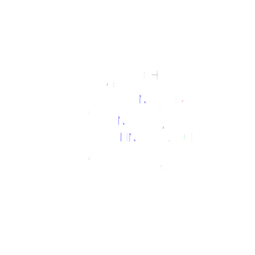 CN1C(=O)C(C(=O)Cl)NN(c2ccccc2)C1=O